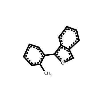 Cc1ccccc1-c1occ2ccccc12